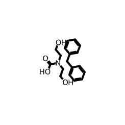 O=C(O)N(CCO)CCO.c1ccc(Cc2ccccc2)cc1